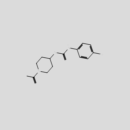 CCC(=O)N1CCC(NC(=O)Nc2ccc([N+](=O)[O-])cc2)CC1